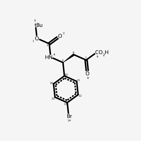 CC(C)(C)OC(=O)N[C@@H](CC(=O)C(=O)O)c1ccc(Br)cc1